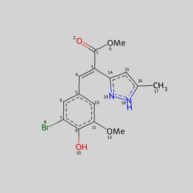 COC(=O)C(=Cc1cc(Br)c(O)c(OC)c1)c1cc(C)[nH]n1